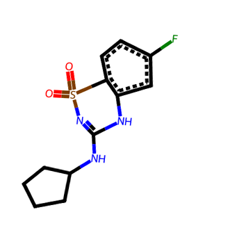 O=S1(=O)N=C(NC2CCCC2)Nc2cc(F)ccc21